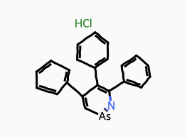 C1=C(c2ccccc2)C(c2ccccc2)=C(c2ccccc2)N=[As]1.Cl